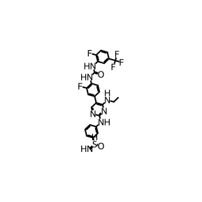 CCNc1nc(Nc2cccc([SH](=N)=O)c2)ncc1-c1ccc(NC(=O)Nc2cc(C(F)(F)F)ccc2F)c(F)c1